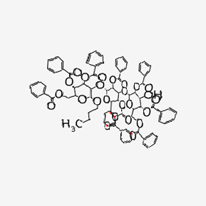 CCCCO[C@H]1OC(COC(=O)c2ccccc2)[C@@H](OC(=O)c2ccccc2)C(OC(=O)c2ccccc2)C1O[C@H]1OC(COC(=O)c2ccccc2)[C@@H](OC(=O)c2ccccc2)C(O[C@H]2OC(COC(=O)c3ccccc3)[C@@H](OC(=O)c3ccccc3)C(O)C2OC(=O)c2ccccc2)C1OC(=O)c1ccccc1